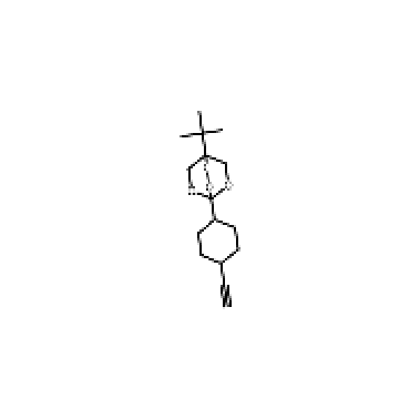 C#CC1CCC(C23OCC(C(C)(C)C)(CO2)CO3)CC1